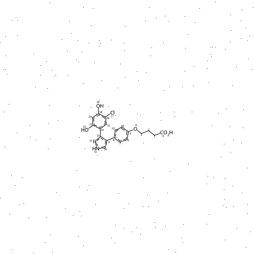 O=C(O)CCCOc1ccc(-c2c[nH]nc2-c2cc(Cl)c(O)cc2O)cc1